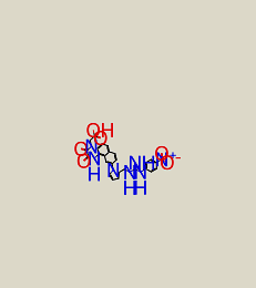 N=C(NCc1cccn1-c1ccc2ccc3c([nH]c(=O)c(=O)n3CC(=O)O)c2c1)Nc1ccc([N+](=O)[O-])cc1